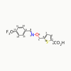 O=C(O)c1ccc(CO/N=C/c2ccc(C(F)(F)F)cc2)s1